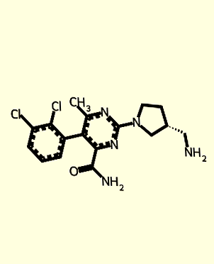 Cc1nc(N2CC[C@H](CN)C2)nc(C(N)=O)c1-c1cccc(Cl)c1Cl